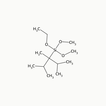 CCO[Si](OC)(OC)C(C)(C(C)C)C(C)C